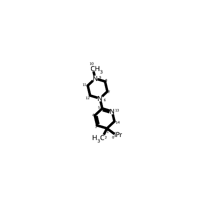 CC(C)C1(C)C=CC(N2CCN(C)CC2)=NC1